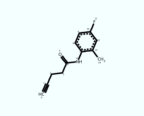 C#CCCC(=O)Nc1ccc(F)cc1C